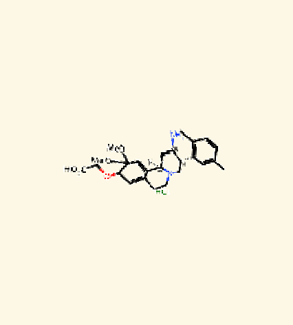 COC1(OC)C=C2C(=CC1OCC(=O)O)CCN1C[C@@H](c3cc(C)ccc3C)[C@H](N)C[C@H]21.Cl